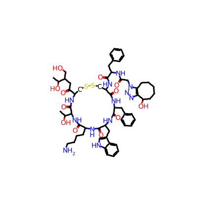 CC(O)C(CO)CC(=O)C1CSSCC(NC(=O)C(Cc2ccccc2)NC(=O)Cn2nnc3c2CCCCCC3O)C(=O)NC(Cc2ccccc2)C(=O)NC(Cc2c[nH]c3ccccc23)C(=O)NC(CCCCN)C(=O)NC(C(C)O)C(=O)N1